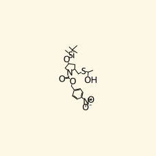 CC(O)SCC1CC(O[Si](C)(C)C(C)(C)C)CN1C(=O)OCc1ccc([N+](=O)[O-])cc1